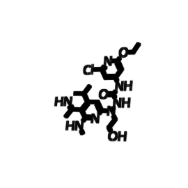 CCOc1cc(NC(=O)NN(CCO)c2cc(C(C)C)c(C(C)=N)c(NC)n2)cc(Cl)n1